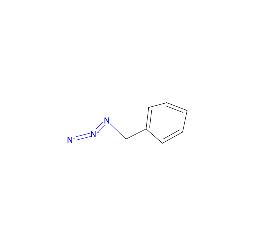 [N-]=[N+]=N[CH]c1ccccc1